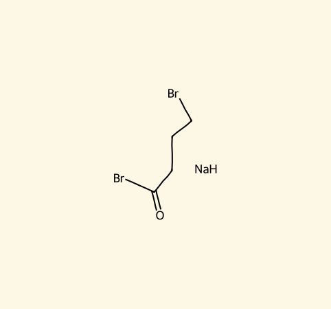 O=C(Br)CCCBr.[NaH]